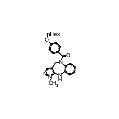 CCCCCCOc1ccc(C(=O)N2Cc3cnn(C)c3Nc3ccccc32)cc1